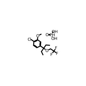 CCC(CC)(OCC(F)(F)F)c1ccc(Cl)c(OC)c1.O=[PH](O)O